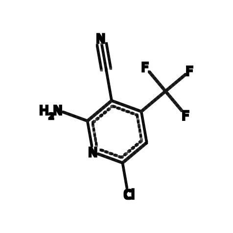 N#Cc1c(C(F)(F)F)cc(Cl)nc1N